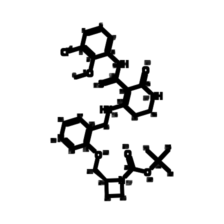 COc1c(Cl)cccc1NC(=S)C1=C(NCc2ccncc2OC[C@@H]2CCN2C(=O)OC(C)(C)C)CCNC1=O